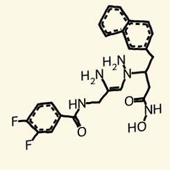 N/C(=C\N(N)C(CC(=O)NO)Cc1ccc2ccccc2c1)CNC(=O)c1ccc(F)c(F)c1